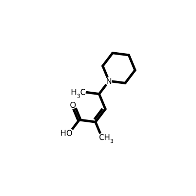 CC(=CC(C)N1CCCCC1)C(=O)O